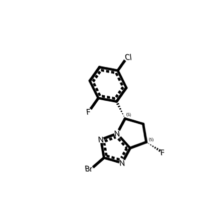 Fc1ccc(Cl)cc1[C@@H]1C[C@H](F)c2nc(Br)nn21